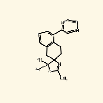 [2H]C1([2H])OC(C)=NC12CCc1c(cccc1-c1cnccn1)C2